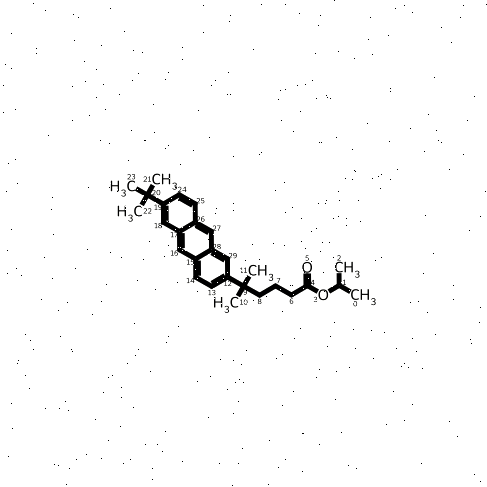 CC(C)OC(=O)CCCC(C)(C)c1ccc2cc3cc(C(C)(C)C)ccc3cc2c1